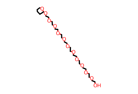 OCCOCCOCCOCCOCCOCCOCCOCCOCCOCCOCCOC1CCCCO1